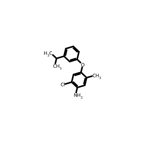 Cc1cc(N)c(Cl)cc1Oc1cccc(C(C)C)c1